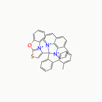 Cc1ccccc1-c1ccccc1C1(c2csc3oc4ccccc4[n+]23)[n+]2cccc3ccc4ccc[n+]1c4c32